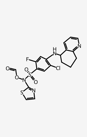 O=CON(c1nccs1)S(=O)(=O)c1cc(Cl)c(NC2CCCc3ncccc32)cc1F